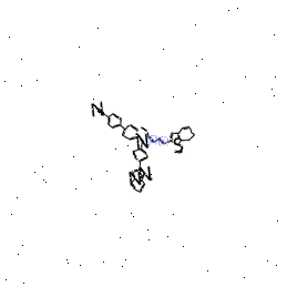 C=C/C(=C\C=C\c1cc2c(s1)CCC=C2)N(c1ccc(-c2ccc(C#N)cc2)cc1)c1ccc(-c2cn3ccccc3n2)cc1